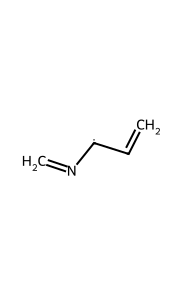 C=C[CH]N=C